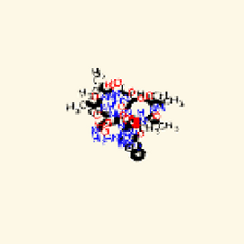 CCC[C@@H]1NC(=O)[C@H](CCCNC(=N)N)NC(=O)[C@H](NC(=O)[C@H](CO)NC(=O)[C@@H](NC(=O)[C@H](NC(=O)[C@@H](CCC(N)=O)NC(=O)[C@H](CO)NC(=O)[C@@H](NC(=O)[C@@H](Cc2ccccc2)NC)[C@@H](C)CC)[C@H](C)CC)[C@@H](C)CC)[C@H](C)OC(=O)[C@H]([C@@H](C)CC)NC1=O